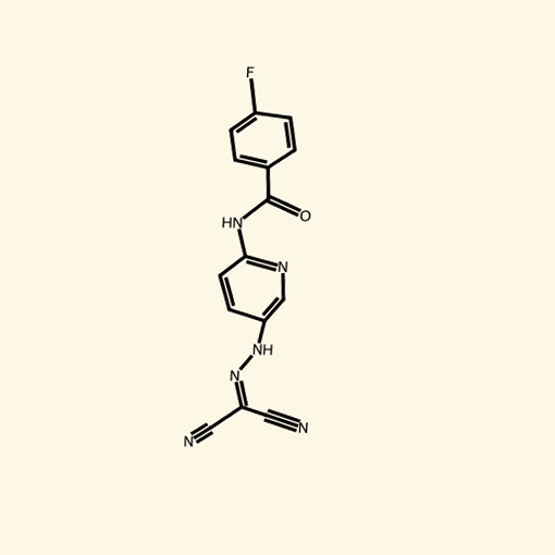 N#CC(C#N)=NNc1ccc(NC(=O)c2ccc(F)cc2)nc1